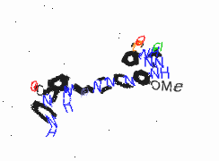 COc1cc(N2CCC(N3CCN(C/C=C/CNc4cccc5c4CN(C4CCCNC4)C5=C=O)CC3)CC2)ccc1Nc1ncc(Cl)c(Nc2ccccc2P(C)(C)=O)n1